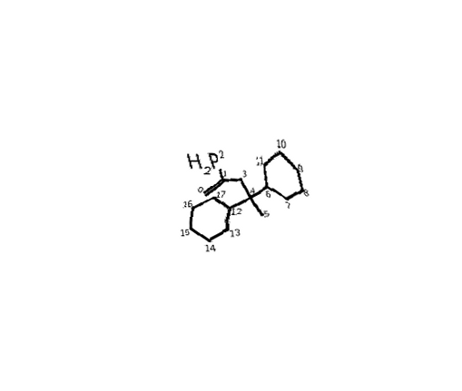 C=C(P)CC(C)(C1CCCCC1)C1CCCCC1